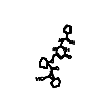 N=C(NC1NC(=O)C=C(COC2(C(=O)N3C(O)C34CCCCC4)CCCCC2)N1)c1ccccc1